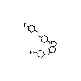 CCN1CCC(Cc2ccc3c(c2)N(C2CCN(CCc4ccc(F)cc4)CC2)CC3)CC1